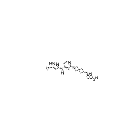 O=C(O)NC1CC2(C1)CN(c1nccc(Nc3cc(C4CC4)[nH]n3)n1)C2